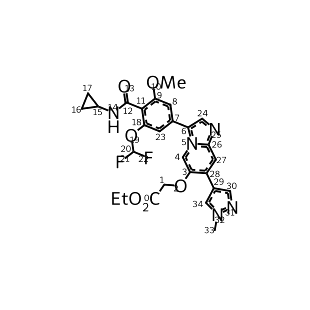 CCOC(=O)COc1cn2c(-c3cc(OC)c(C(=O)NC4CC4)c(OC(F)F)c3)cnc2cc1-c1cnn(C)c1